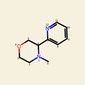 CN1CCOCC1c1ccccn1